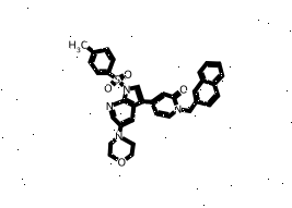 Cc1ccc(S(=O)(=O)n2cc(-c3ccn(Cc4ccc5ccccc5c4)c(=O)c3)c3cc(N4CCOCC4)cnc32)cc1